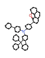 c1ccc(-c2ccc(N(c3ccc(-c4ccc5ccc6cccc7oc4c5c67)cc3)c3ccc4c(c3)C(c3ccccc3)(c3ccccc3)c3ccccc3-4)cc2)cc1